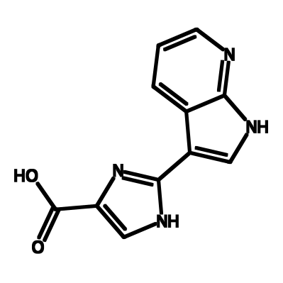 O=C(O)c1c[nH]c(-c2c[nH]c3ncccc23)n1